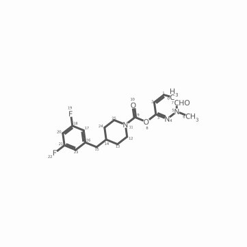 C/C=C\C(=N/N(C)C=O)OC(=O)N1CCC(Cc2cc(F)cc(F)c2)CC1